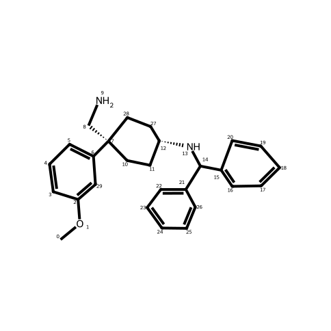 COc1cccc([C@]2(CN)CC[C@@H](NC(c3ccccc3)c3ccccc3)CC2)c1